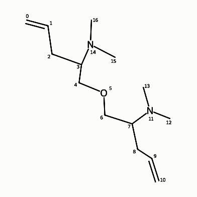 C=CCC(COCC(CC=C)N(C)C)N(C)C